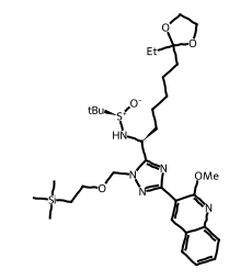 CCC1(CCCCC[C@H](N[S@+]([O-])C(C)(C)C)c2nc(-c3cc4ccccc4nc3OC)nn2COCC[Si](C)(C)C)OCCO1